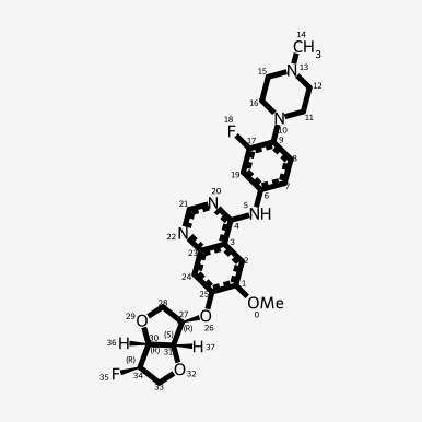 COc1cc2c(Nc3ccc(N4CCN(C)CC4)c(F)c3)ncnc2cc1O[C@@H]1CO[C@@H]2[C@H]1OC[C@H]2F